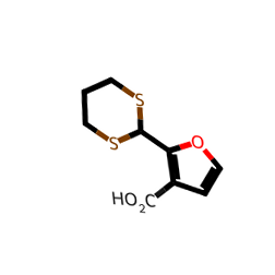 O=C(O)c1ccoc1C1SCCCS1